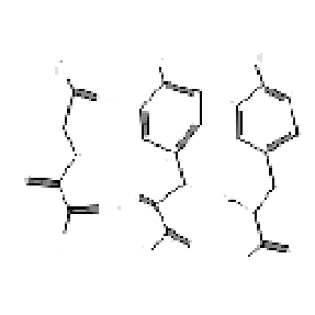 N[C@@H](Cc1ccc(O)cc1)C(=O)O.O=C(O)C(=O)Cc1ccc(O)cc1.O=C(O)CCC(=O)C(=O)O